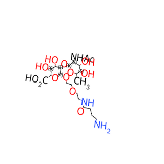 CC(=O)N[C@H]1C(O)[C@H](O)C(C)O[C@H]1O[C@H]1C(O)[C@H](O)C(C(=O)O)O[C@H]1OCCOCCNC(=O)CCCN